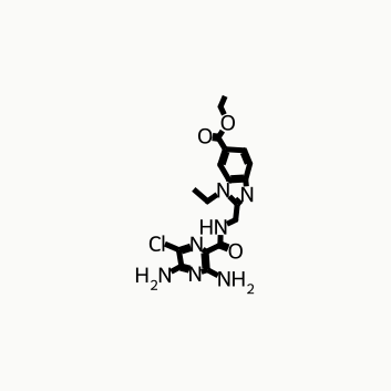 CCOC(=O)c1ccc2nc(CNC(=O)c3nc(Cl)c(N)nc3N)n(CC)c2c1